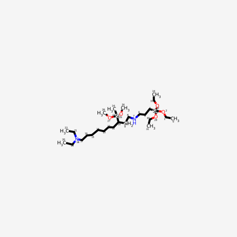 CCO[Si](CCCNC[SiH2]C(CCCCCCCN(CC)CC)[Si](C)(OC)OC)(OCC)OCC